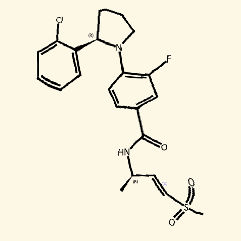 C[C@H](/C=C/S(C)(=O)=O)NC(=O)c1ccc(N2CCC[C@@H]2c2ccccc2Cl)c(F)c1